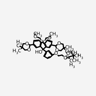 COCOc1ccc(C2OCC(C)(C)CO2)cc1C(O)(c1cccc(OCCO[Si](C)(C)C(C)(C)C)c1)c1cc(C2OCC(C)(C)CO2)ccc1OCOC